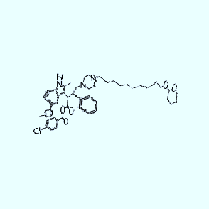 COc1ccc2[nH]c(C)c(C(C(=O)OC(=O)c3ccc(Cl)cc3)C(CN3CCN(CCCCCCCCCCOC4CCCCO4)CC3)c3ccccc3)c2c1